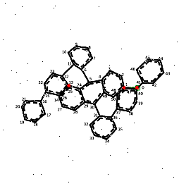 Clc1ccc2c(-c3ccccc3-c3ccc(-c4ccccc4)cc3)c3ccccc3c(-c3ccccc3-c3ccc(-c4ccccc4)cc3)c2c1